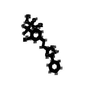 CCOP(=O)(OCC)C(F)(F)c1ccc(CSc2nnc(-c3ccccc3)o2)cc1Br